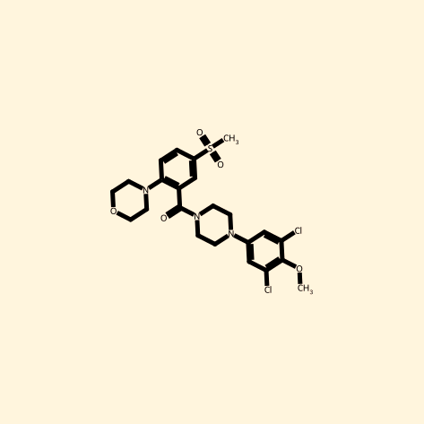 COc1c(Cl)cc(N2CCN(C(=O)c3cc(S(C)(=O)=O)ccc3N3CCOCC3)CC2)cc1Cl